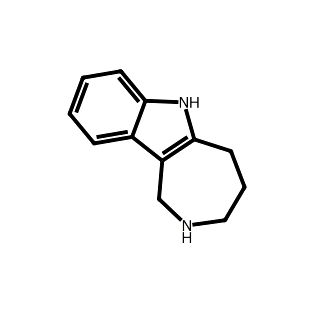 c1ccc2c3c([nH]c2c1)CCCNC3